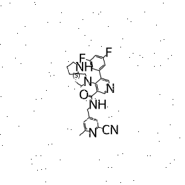 Cc1cc(CNC(=O)c2cncc(-c3cc(F)cc(F)c3)c2N2CC[C@@]3(CCCN3)C2)cc(C#N)n1